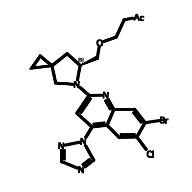 CC(=O)CCOC[C@@H]1CC2(CC2)CN1c1cc(-n2cncn2)c2cc(Cl)c(Br)cc2n1